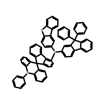 c1ccc(N2c3ccccc3C3(c4ccccc4-c4c(N(c5ccc6c(c5)C(c5ccccc5)(c5ccccc5)c5ccccc5-6)c5ccc6sc7ccccc7c6c5)cccc43)c3ccccc32)cc1